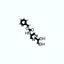 O=C(Nc1cnc(C(O)CO)nc1)OCc1ccccc1